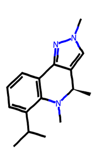 CC(C)c1cccc2c1N(C)[C@H](C)c1cn(C)nc1-2